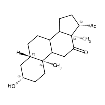 CC(=O)[C@H]1CCC2C3CC[C@H]4C[C@@H](O)CC[C@]4(C)C3CC(=O)[C@@]21C